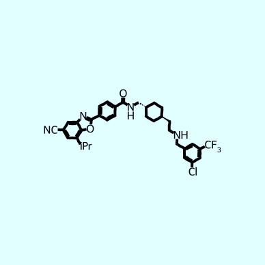 CC(C)c1cc(C#N)cc2nc(-c3ccc(C(=O)NC[C@H]4CC[C@H](CCNCc5cc(Cl)cc(C(F)(F)F)c5)CC4)cc3)oc12